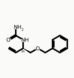 C=C[C@H](COCc1ccccc1)NC(N)=O